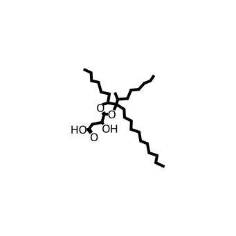 CCCCCCCCCCCC(OC(=O)C(O)CC(=O)O)(C(C)CCCCCC)C(C)CCCCCC